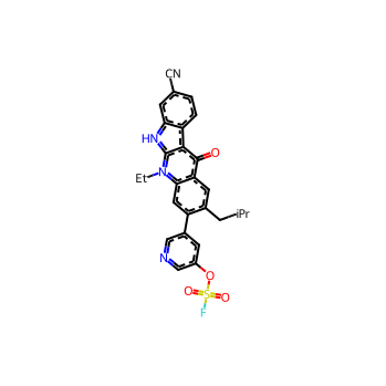 CCn1c2cc(-c3cncc(OS(=O)(=O)F)c3)c(CC(C)C)cc2c(=O)c2c3ccc(C#N)cc3[nH]c21